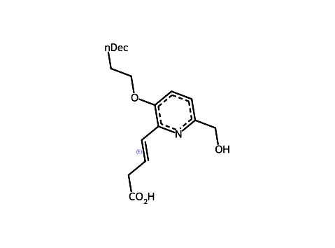 CCCCCCCCCCCCOc1ccc(CO)nc1/C=C/CC(=O)O